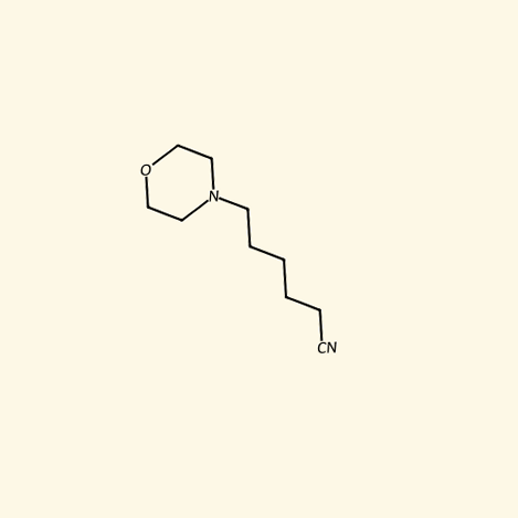 N#CCCCCCN1CCOCC1